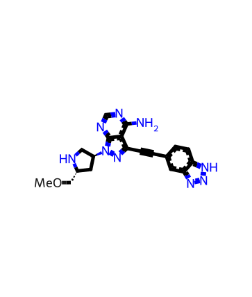 COC[C@H]1C[C@H](n2nc(C#Cc3ccc4[nH]nnc4c3)c3c(N)ncnc32)CN1